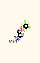 CNc1nc2cnc3c(ccn3S(=O)(=O)c3c(F)c(F)c(F)c(F)c3F)c2n1C